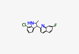 CC1Nc2c(Cl)cccc2C1c1ccc2ccc(F)cc2n1